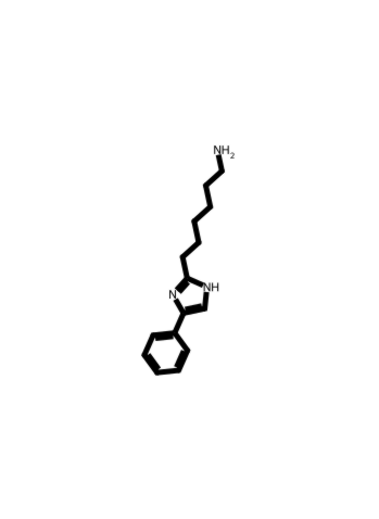 NCCCCCCc1nc(-c2ccccc2)c[nH]1